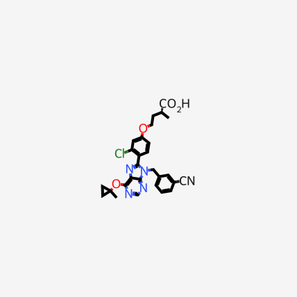 C[C@@H](CCOc1ccc(-c2nc3c(OC4(C)CC4)ncnc3n2Cc2cccc(C#N)c2)c(Cl)c1)C(=O)O